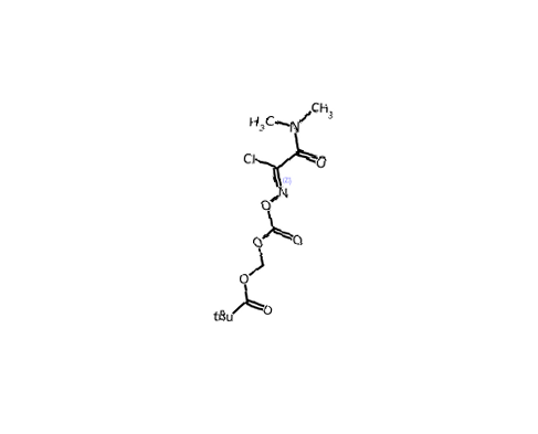 CN(C)C(=O)/C(Cl)=N/OC(=O)OCOC(=O)C(C)(C)C